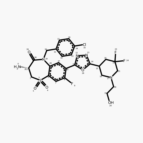 N[C@H]1CS(=O)(=O)c2cc(F)c(-c3nnc(C4CN(CCO)CC(F)(F)C4)o3)cc2N(Cc2ccc(Cl)cc2)C1=O